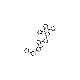 c1ccc(-c2cccc(-c3ccc4sc5c(-c6cccc(-c7ccc8c(-c9ccccc9)c9ccccc9c(-c9ccccc9)c8c7)c6)cccc5c4c3)c2)cc1